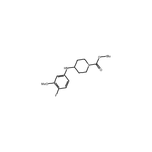 COc1cc(NC2CCN(C(=O)OC(C)(C)C)CC2)ccc1F